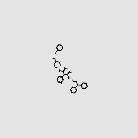 CC1=C(C(=O)OCCC(c2ccccc2)c2ccccc2)C(c2cccc(Cl)c2)C(C(=O)N2CCC(C(=O)OCc3ccccc3)CC2)=C(C)N1